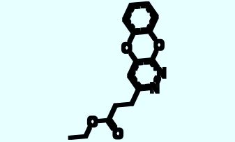 CCOC(=O)CCc1cc2c(nn1)Oc1ccccc1O2